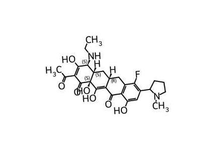 CCN[C@@H]1C(O)=C(C(C)=O)C(=O)[C@@]2(O)C(O)=C3C(=O)c4c(O)cc(C5CCCN5C)c(F)c4C[C@H]3C[C@@H]12